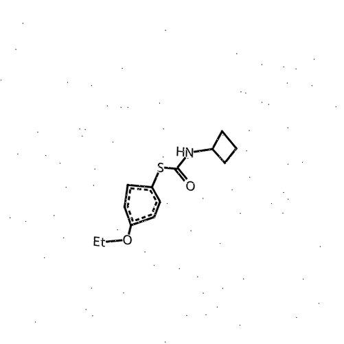 CCOc1ccc(SC(=O)NC2CCC2)cc1